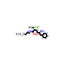 CCOC(=O)CCCNC(=O)[C@H](CC(C)C)C[C@H](O)[C@@H](N)CC1CCCCC1.Cl